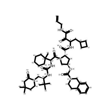 C=CCNC(=O)C(=O)C(CC1CCC1)NC(=O)[C@@H]1C[C@@H](OC(=O)N2CCc3ccccc3C2)CN1C(=O)[C@@H](NC(=O)N[C@H](CN1CCC(C)(C)CC1=O)C(C)(C)C)C1(C)CCCCC1